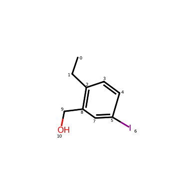 CCc1ccc(I)cc1CO